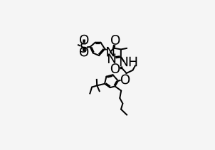 CCCCCc1cc(C(C)(C)CC)ccc1OC(CC)C(=O)NC1=NN(c2ccc(S(C)(=O)=O)cc2)C(=O)C1C